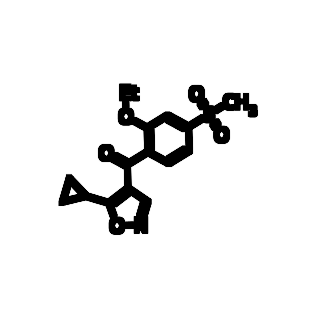 CCOc1cc(S(C)(=O)=O)ccc1C(=O)c1cnoc1C1CC1